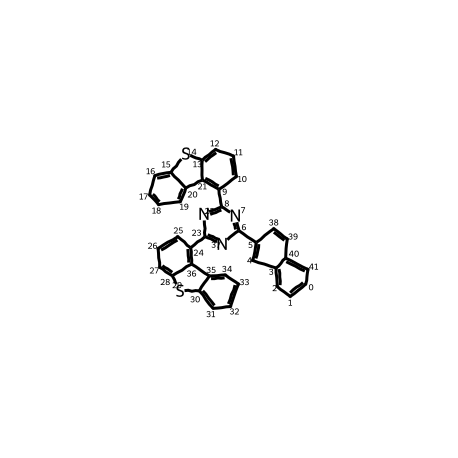 c1ccc2cc(-c3nc(-c4cccc5sc6ccccc6c45)nc(-c4cccc5sc6ccccc6c45)n3)ccc2c1